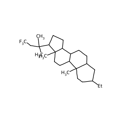 CCC1CCC2(C)C(CCC3C2CCC2(C)C3CCC2C(C)(C)CC(F)(F)F)C1